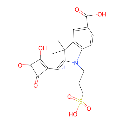 CC1(C)/C(=C\c2c(O)c(=O)c2=O)N(CCCS(=O)(=O)O)c2ccc(C(=O)O)cc21